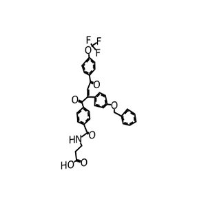 O=C(O)CCNC(=O)c1ccc(C(=O)C(=CC(=O)c2ccc(OC(F)(F)F)cc2)c2ccc(OCc3ccccc3)cc2)cc1